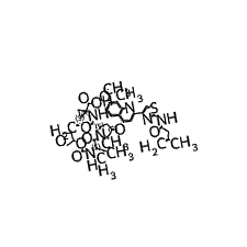 C=C[C@@H]1C[C@]1(NC(=O)[C@@H]1C[C@@H](Oc2cc(-c3csc(NC(=O)CC(=C)C)n3)nc3c(C)c(OC)ccc23)CN1C(=O)[C@@H](NC(=O)OC1CCOC1)C(C)(C)C)C(=O)O